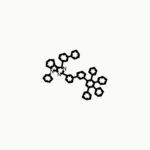 c1ccc(-c2cccc(-c3nc(-c4cccc(-c5cccc(-c6cc(-c7ccccc7)c(-c7ccccc7)c(-c7ccccc7)c6-c6ccccc6)c5)c4)nc4c3c3ccccc3n4-c3ccccc3)c2)cc1